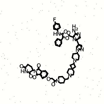 Nc1ncc(-c2cnn(C3CCN(C4CC5(CCN(CC6CCN(C(=O)COc7ccc8c(c7)C(=O)N(C7CCC(=O)NC7=O)C8=O)CC6)CC5)C4)CC3)c2)nc1C(=O)O[C@@H](C(=O)Nc1ccc(F)cc1)c1ccccc1